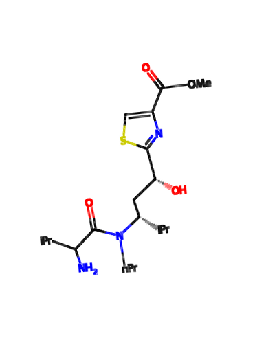 CCCN(C(=O)C(N)C(C)C)[C@H](C[C@@H](O)c1nc(C(=O)OC)cs1)C(C)C